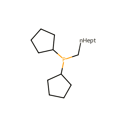 CCCCCCCCP(C1CCCC1)C1CCCC1